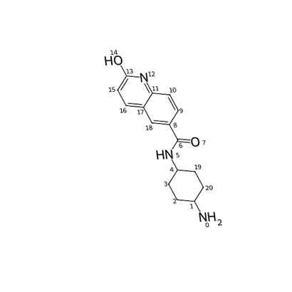 NC1CCC(NC(=O)c2ccc3nc(O)ccc3c2)CC1